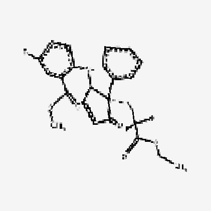 CCOC(=O)C(F)(F)C[C@]1(c2ccccc2)C(=O)C=C[C@H]1Nc1ccc(F)cc1C(=O)OC